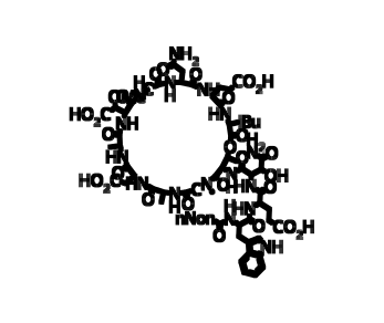 CCCCCCCCCC(=O)NC(Cc1c[nH]c2ccccc12)C(=O)NC(CCC(=O)O)C(=O)NC(C(=O)NC1C(=O)N(C)CC(=O)NC(C)C(=O)NC(CC(=O)O)C(=O)NC(C)C(=O)NC(C(OC)C(=O)O)C(=O)NCC(=O)NC(CC(N)=O)C(=O)NC(CCC(=O)O)C(=O)NC(C(C)CC)C(=O)OC1C)C(O)C(N)=O